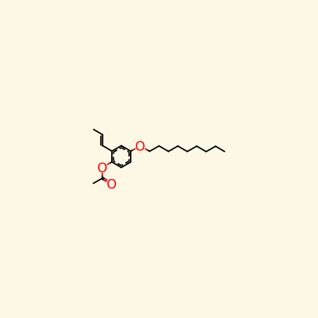 CC=Cc1cc(OCCCCCCCCC)ccc1OC(C)=O